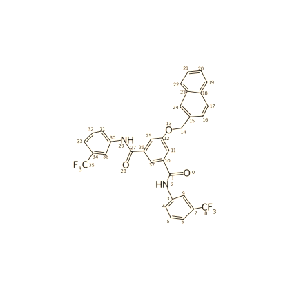 O=C(Nc1cccc(C(F)(F)F)c1)c1cc(OCc2ccc3ccccc3c2)cc(C(=O)Nc2cccc(C(F)(F)F)c2)c1